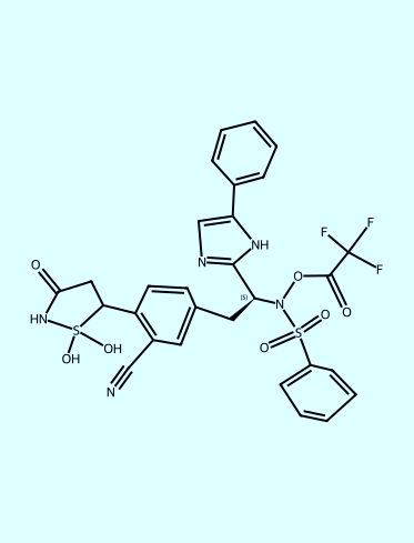 N#Cc1cc(C[C@@H](c2ncc(-c3ccccc3)[nH]2)N(OC(=O)C(F)(F)F)S(=O)(=O)c2ccccc2)ccc1C1CC(=O)NS1(O)O